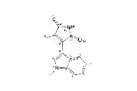 CC1=C(c2cn(C)c3ccccc23)C(=O)NC1=O